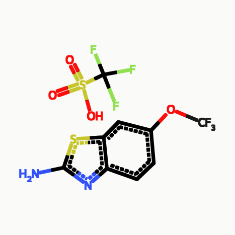 Nc1nc2ccc(OC(F)(F)F)cc2s1.O=S(=O)(O)C(F)(F)F